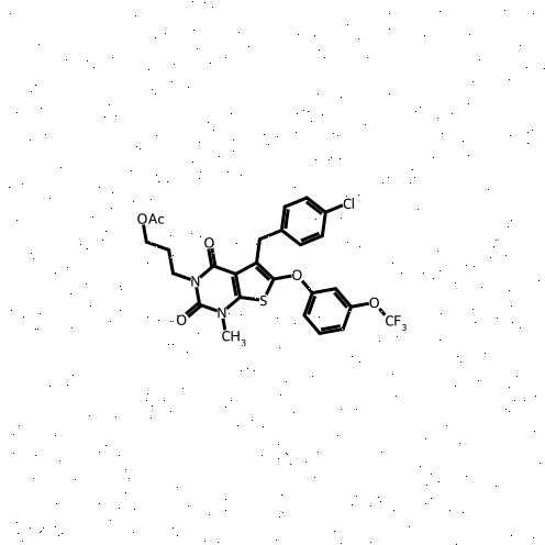 CC(=O)OCCCn1c(=O)c2c(Cc3ccc(Cl)cc3)c(Oc3cccc(OC(F)(F)F)c3)sc2n(C)c1=O